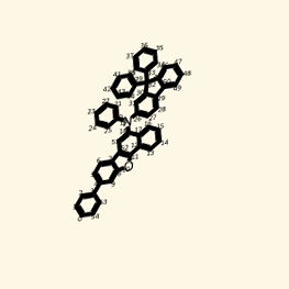 c1ccc(-c2ccc3c(c2)oc2c4ccccc4c(N(c4ccccc4)c4ccc5c(c4)C(c4ccccc4)(c4ccccc4)c4ccccc4-5)cc32)cc1